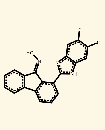 O/N=C1\c2ccccc2-c2cccc(-c3nc4cc(F)c(Cl)cc4[nH]3)c21